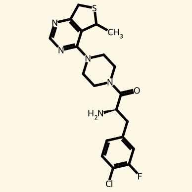 CC1SCc2ncnc(N3CCN(C(=O)[C@H](N)Cc4ccc(Cl)c(F)c4)CC3)c21